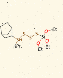 CCC[SH](SSS[Si](OCC)(OCC)OCC)C1CC2CCC1C2